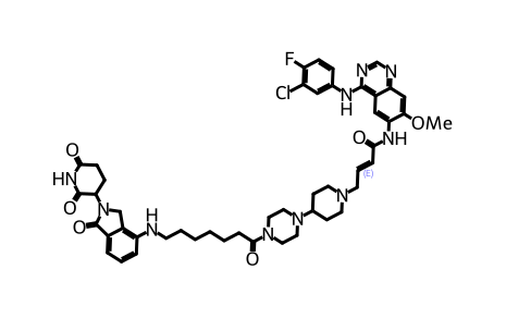 COc1cc2ncnc(Nc3ccc(F)c(Cl)c3)c2cc1NC(=O)/C=C/CN1CCC(N2CCN(C(=O)CCCCCCNc3cccc4c3CN(C3CCC(=O)NC3=O)C4=O)CC2)CC1